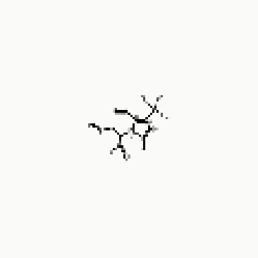 C=CCC(C(C)=O)n1c(C)nc(C(F)(F)F)c1C=C